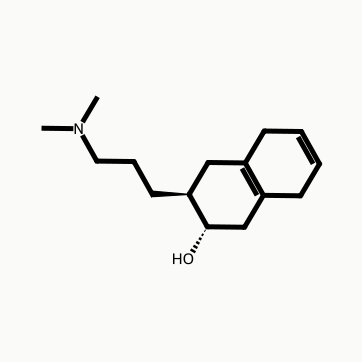 CN(C)CCC[C@H]1CC2=C(CC=CC2)C[C@@H]1O